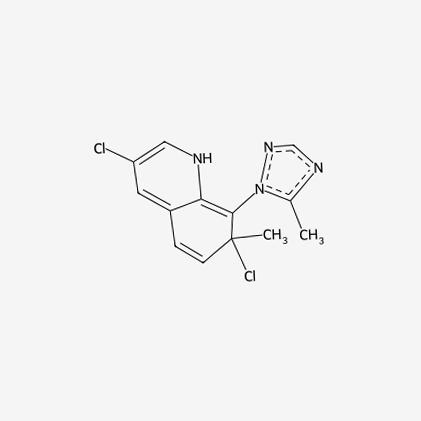 Cc1ncnn1C1=C2NC=C(Cl)C=C2C=CC1(C)Cl